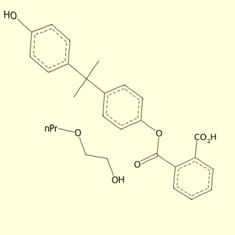 CC(C)(c1ccc(O)cc1)c1ccc(OC(=O)c2ccccc2C(=O)O)cc1.CCCOCCO